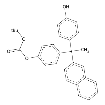 CC(C)(C)OC(=O)Oc1ccc(C(C)(c2ccc(O)cc2)c2ccc3ccccc3c2)cc1